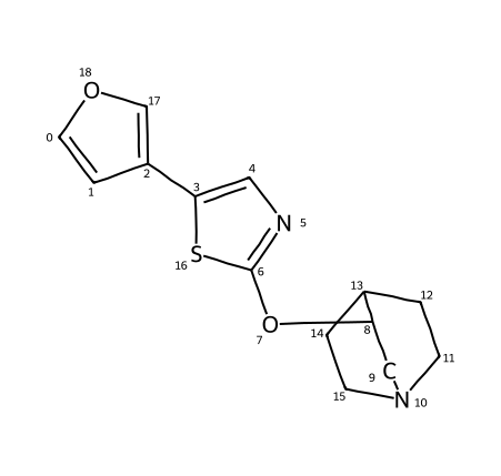 c1cc(-c2cnc(OC3CN4CCC3CC4)s2)co1